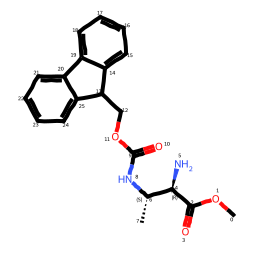 COC(=O)[C@H](N)[C@H](C)NC(=O)OCC1c2ccccc2-c2ccccc21